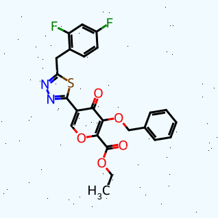 CCOC(=O)c1occ(-c2nnc(Cc3ccc(F)cc3F)s2)c(=O)c1OCc1ccccc1